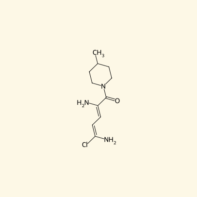 CC1CCN(C(=O)/C(N)=C/C=C(\N)Cl)CC1